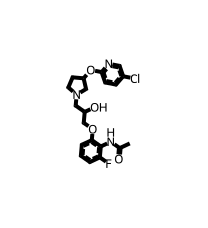 CC(=O)Nc1c(F)cccc1OCC(O)CN1CCC(Oc2ccc(Cl)cn2)C1